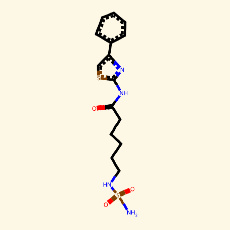 NS(=O)(=O)NCCCCCC(=O)Nc1nc(-c2ccccc2)cs1